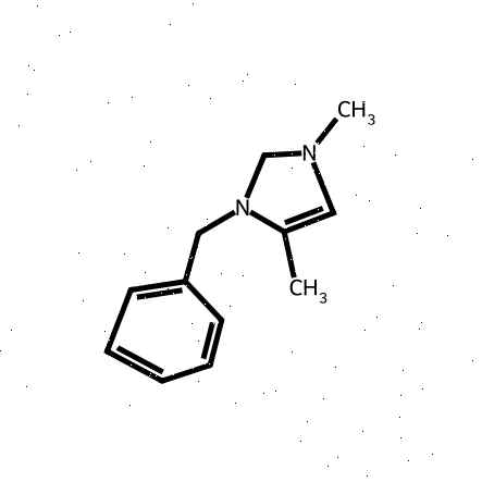 CC1=CN(C)CN1Cc1ccccc1